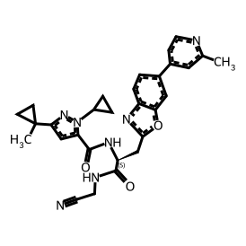 Cc1cc(-c2ccc3nc(C[C@H](NC(=O)c4cc(C5(C)CC5)nn4C4CC4)C(=O)NCC#N)oc3c2)ccn1